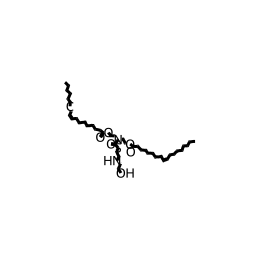 CCCCCCCC/C=C\CCCCCCCC(=O)OCCN(CCOC(=O)CCCCCCC/C=C\CCCCCCCC)C(=O)SCCNCCO